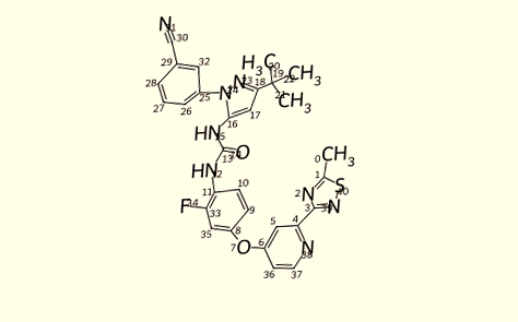 Cc1nc(-c2cc(Oc3ccc(NC(=O)Nc4cc(C(C)(C)C)nn4-c4cccc(C#N)c4)c(F)c3)ccn2)ns1